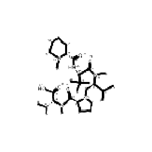 CC(C)[C@@H](CN1CCC[C@H]1C(=O)N(C)[C@@H](C(=O)O)C(C)C)N(C)C(=O)[C@@H](NC(=O)[C@H]1CCCCN1C)C(C)(C)C